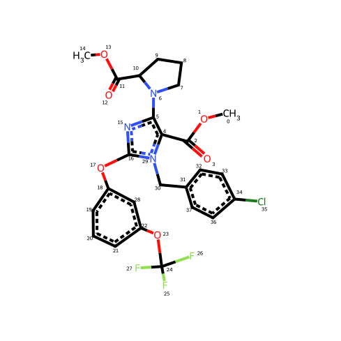 COC(=O)c1c(N2CCCC2C(=O)OC)nc(Oc2cccc(OC(F)(F)F)c2)n1Cc1ccc(Cl)cc1